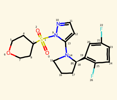 O=S(=O)(C1CCOCC1)n1nccc1N1CCC[C@@H]1c1cc(F)ccc1F